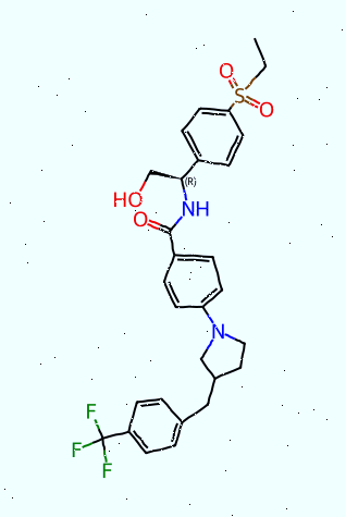 CCS(=O)(=O)c1ccc([C@H](CO)NC(=O)c2ccc(N3CCC(Cc4ccc(C(F)(F)F)cc4)C3)cc2)cc1